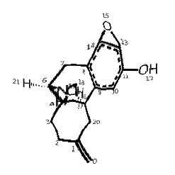 C=C1CCC2(O)[C@H]3Cc4c(cc(O)c5c4O5)[C@@]2(CCN3)C1